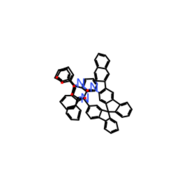 c1ccc(-c2cc(-c3ccccc3)nc(-n3c4cc5c(cc4c4cc6ccccc6cc43)-c3ccccc3C53c4ccccc4-c4ccc(-c5c6ccccc6c(-c6ccccc6)c6ccccc56)cc43)n2)cc1